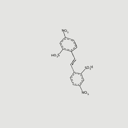 O=[N+]([O-])c1ccc(C=Cc2ccc([N+](=O)[O-])cc2S(=O)(=O)O)c(S(=O)(=O)O)c1